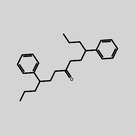 CCCC(CCC(=O)CCC(CCC)c1ccccc1)c1ccccc1